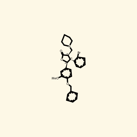 COc1cc([C@H]2OC(=O)[C@@H](CN3CCCCC3)[C@@H]2c2ccccc2Br)ccc1OCc1ccccc1